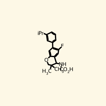 CC(C)c1cccc(-c2cc3c(cc2F)C(NC(=O)O)C(C)(C)CO3)c1